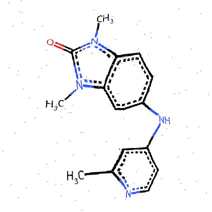 Cc1[c]c(Nc2ccc3c(c2)n(C)c(=O)n3C)ccn1